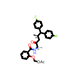 CC(=O)OCOc1ccccc1C(=O)N[C@@H](C)C(=O)C[C@@H](C)C(c1ccc(F)cc1)c1ccc(F)cc1